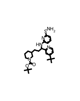 CC(C)(C)OC(=O)N1CCCC(CCC(Nc2cccc(SN)n2)c2cc(C(C)(C)C)ccn2)C1